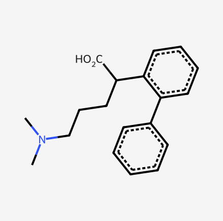 CN(C)CCCC(C(=O)O)c1ccccc1-c1ccccc1